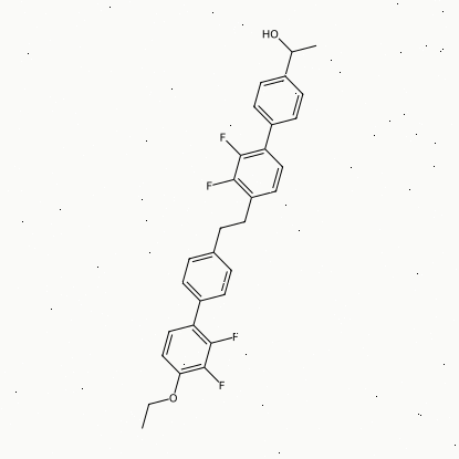 CCOc1ccc(-c2ccc(CCc3ccc(-c4ccc(C(C)O)cc4)c(F)c3F)cc2)c(F)c1F